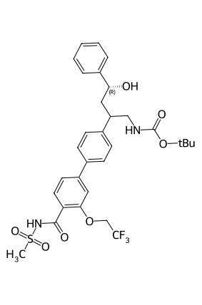 CC(C)(C)OC(=O)NCC(C[C@@H](O)c1ccccc1)c1ccc(-c2ccc(C(=O)NS(C)(=O)=O)c(OCC(F)(F)F)c2)cc1